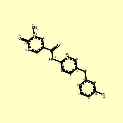 Cn1cc(C(=O)Nc2ccc(Cc3cccc(Cl)c3)cn2)cnc1=O